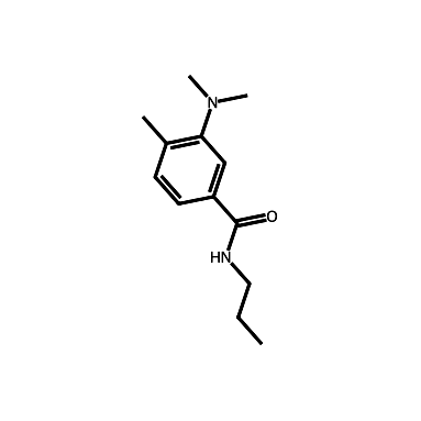 CCCNC(=O)c1ccc(C)c(N(C)C)c1